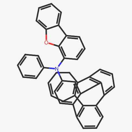 C1=CCC2=C(CC1)c1cccc3c1-c1cc(N(c4ccccc4)c4cccc5c4oc4ccccc45)ccc1-c1cccc-3c12